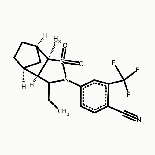 CCC1[C@H]2[C@H]3CC[C@H](C3)[C@@]2(C)S(=O)(=O)N1c1ccc(C#N)c(C(F)(F)F)c1